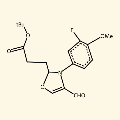 COc1ccc(N2C(C=O)=COC2CCC(=O)OC(C)(C)C)cc1F